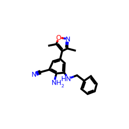 Cc1noc(C)c1-c1cc(C#N)c(N)c(NCc2ccccc2)c1